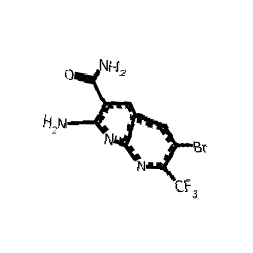 NC(=O)c1cc2cc(Br)c(C(F)(F)F)nc2nc1N